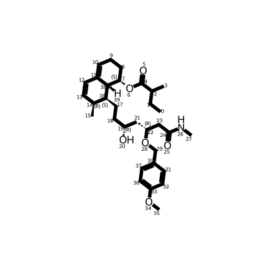 CCC(C)C(=O)O[C@H]1CCC=C2C=C[C@H](C)[C@H](CC[C@@H](O)C[C@H](CC(=O)NC)OCc3ccc(OC)cc3)[C@H]21